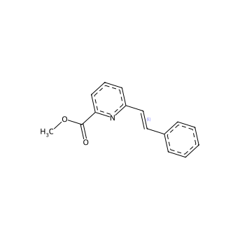 COC(=O)c1cccc(/C=C/c2ccccc2)n1